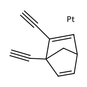 C#CC1=CC2C=CC1(C#C)C2.[Pt]